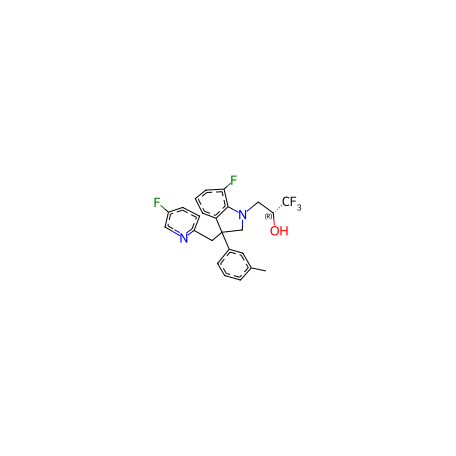 Cc1cccc(C2(Cc3ccc(F)cn3)CN(C[C@@H](O)C(F)(F)F)c3c(F)cccc32)c1